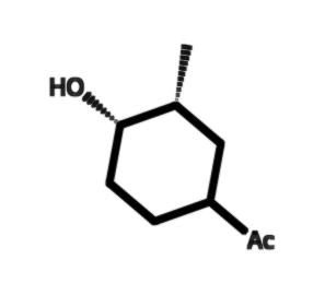 CC(=O)C1CC[C@H](O)[C@H](C)C1